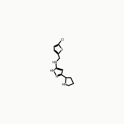 Clc1ccc(CNc2cc(C3CCCN3)n[nH]2)s1